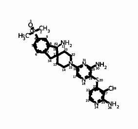 CP(C)(=O)c1ccc2c(c1)[C@@H](N)C1(CCN(c3cnc(Sc4ccnc(N)c4Cl)c(N)n3)CC1)C2